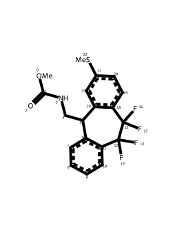 COC(=O)NCC1c2ccccc2C(F)(F)C(F)(F)c2ccc(SC)cc21